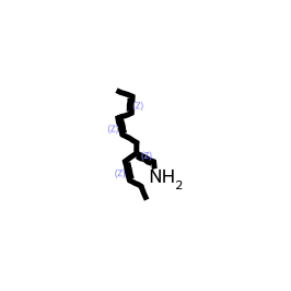 C/C=C\C=C/CC(/C=C\CC)=C/N